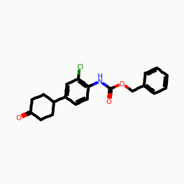 O=C1CCC(c2ccc(NC(=O)OCc3ccccc3)c(Cl)c2)CC1